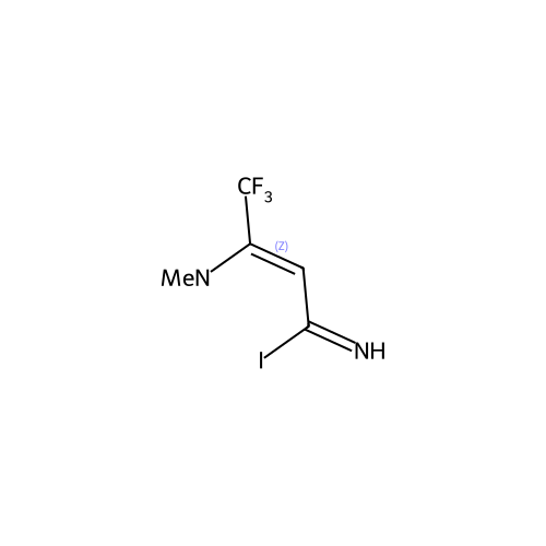 CN/C(=C\C(=N)I)C(F)(F)F